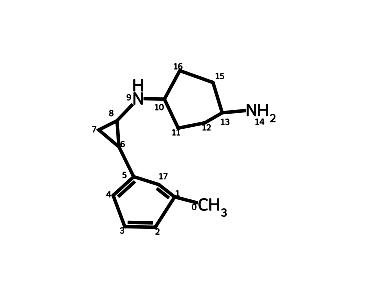 Cc1cccc(C2CC2NC2CCC(N)CC2)c1